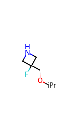 CC(C)OCC1(F)CNC1